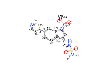 CN(C)S(=O)(=O)NCc1cn(C(=O)OC(C)(C)C)c2cc(-c3ccncc3)ccc12